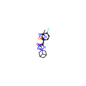 Cc1noc(CC(=O)N2CC3CC(C2)C3n2nnc(-c3ccc(F)cc3)n2)n1